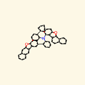 c1ccc(-c2ccccc2N(c2ccccc2-c2ccc3oc4cc5ccccc5cc4c3c2)c2cccc3oc4c5ccccc5ccc4c23)cc1